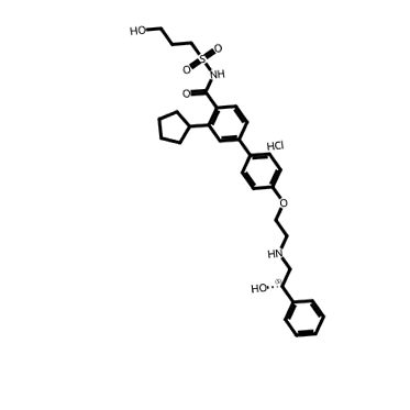 Cl.O=C(NS(=O)(=O)CCCO)c1ccc(-c2ccc(OCCNC[C@@H](O)c3ccccc3)cc2)cc1C1CCCC1